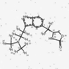 [2H]C([2H])(c1ccc2[nH]cc(C([2H])([2H])C([2H])([2H])N(C([2H])([2H])[2H])C([2H])([2H])[2H])c2c1)[C@H]1COC(=O)N1